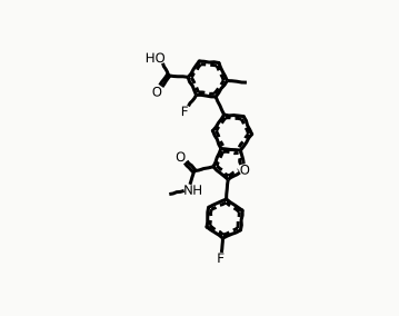 CNC(=O)c1c(-c2ccc(F)cc2)oc2ccc(-c3c(C)ccc(C(=O)O)c3F)cc12